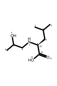 CC(C)C[C@H](NCC(C)O)C(=O)O